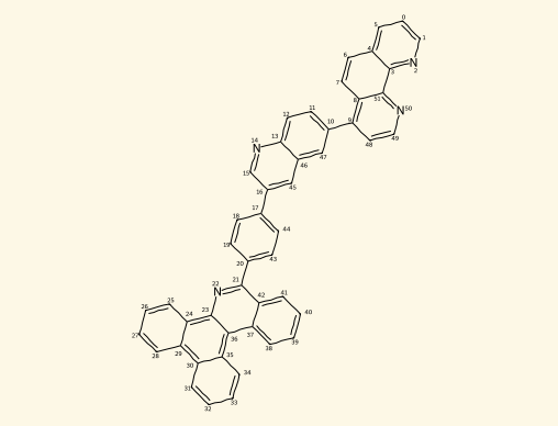 c1cnc2c(c1)ccc1c(-c3ccc4ncc(-c5ccc(-c6nc7c8ccccc8c8ccccc8c7c7ccccc67)cc5)cc4c3)ccnc12